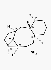 C[C@@H]1CCC[C@@]2(C)CC[C@H]3[C@H](C)CC[C@@H](C[C@H]12)C3(C)C.N